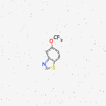 FC(F)(F)Oc1ccc2s[c]nc2c1